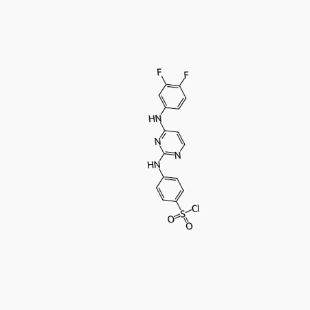 O=S(=O)(Cl)c1ccc(Nc2nccc(Nc3ccc(F)c(F)c3)n2)cc1